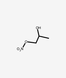 CC(O)CO[N+](=O)[O-]